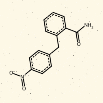 NC(=O)c1ccccc1Cc1ccc([N+](=O)[O-])cc1